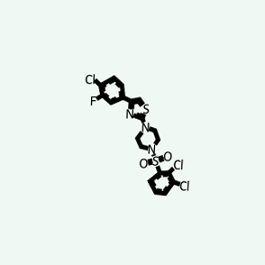 O=S(=O)(c1cccc(Cl)c1Cl)N1CCN(c2nc(-c3ccc(Cl)c(F)c3)cs2)CC1